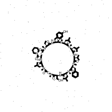 CC[C@H]1C(=O)N[C@@H](Cc2ccc(O)cc2)C(O)N(C)[C@@H](CC(C)C)C(=O)N(C)[C@@H](CC(C)C)C(=O)N[C@@H](C(C)C)C(=O)N(C)[C@@H](Cc2ccccc2)C(=O)N(C)[C@@H](CC(C)C)C(=O)N[C@@H]([C@@H](C)O)C(=O)N(C)CC(=O)N(C)[C@@H](CC(C)C)C(=O)N[C@H](C(=O)N2CCCCC2)CC(=O)N1C